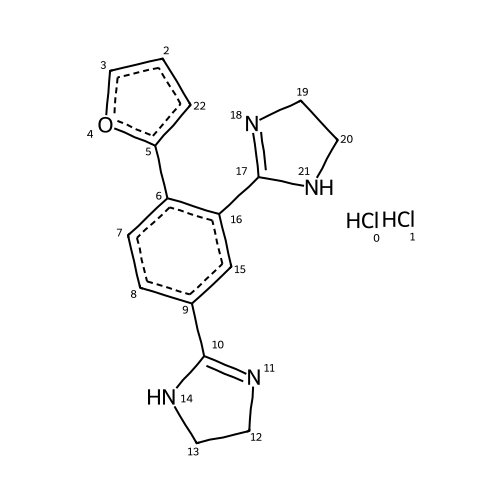 Cl.Cl.c1coc(-c2ccc(C3=NCCN3)cc2C2=NCCN2)c1